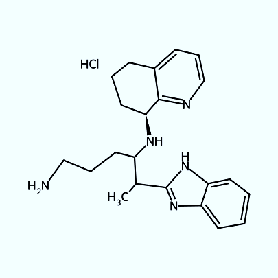 CC(c1nc2ccccc2[nH]1)C(CCCN)N[C@H]1CCCc2cccnc21.Cl